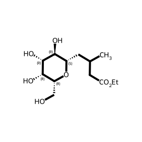 CCOC(=O)CC(C)C[C@@H]1O[C@H](CO)[C@H](O)[C@H](O)[C@H]1O